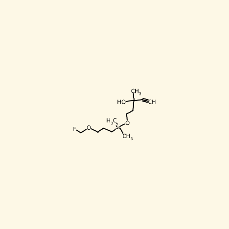 C#CC(C)(O)CCO[Si](C)(C)CCCOCF